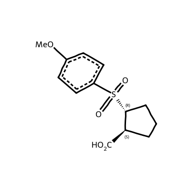 COc1ccc(S(=O)(=O)[C@@H]2CCC[C@H]2C(=O)O)cc1